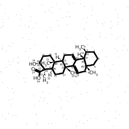 C[C@H]1CCC[C@]2(C)CC=C3C(=CC[C@@H]4[C@@]5(C)CC[C@@H](O)[C@](C)(C(=O)O)[C@@H]5CC[C@@]34C)[C@H]12